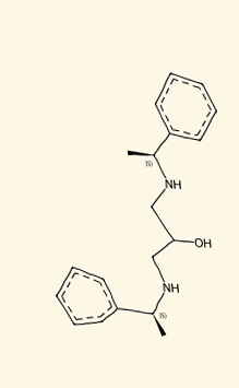 C[C@H](NCC(O)CN[C@@H](C)c1ccccc1)c1ccccc1